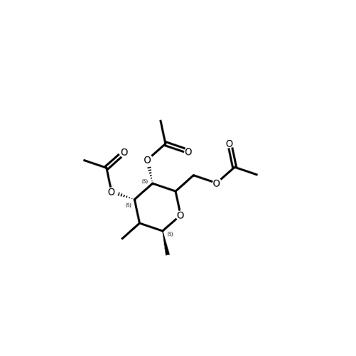 CC(=O)OCC1O[C@@H](C)C(C)[C@H](OC(C)=O)[C@@H]1OC(C)=O